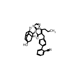 CCCc1c(Cc2ccc(-c3ccccc3C#N)cc2)c(=O)n(C2[C@@H]3CC4C[C@H]2CC(O)(C4)C3)c2ncnn12